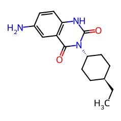 CC[C@H]1CC[C@H](n2c(=O)[nH]c3ccc(N)cc3c2=O)CC1